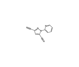 N#Cc1cc(C#N)n(-c2ccccn2)n1